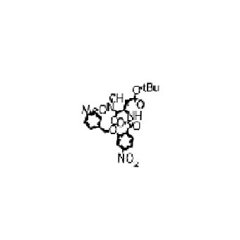 CON(C)C(=O)C(CC(=O)OC(C)(C)C)NS(=O)(=O)c1ccc([N+](=O)[O-])cc1OCc1ccccc1